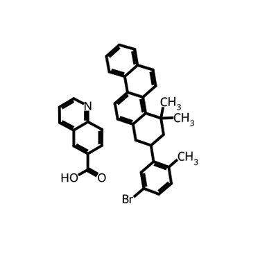 Cc1ccc(Br)cc1C1Cc2ccc3c(ccc4ccccc43)c2C(C)(C)C1.O=C(O)c1ccc2ncccc2c1